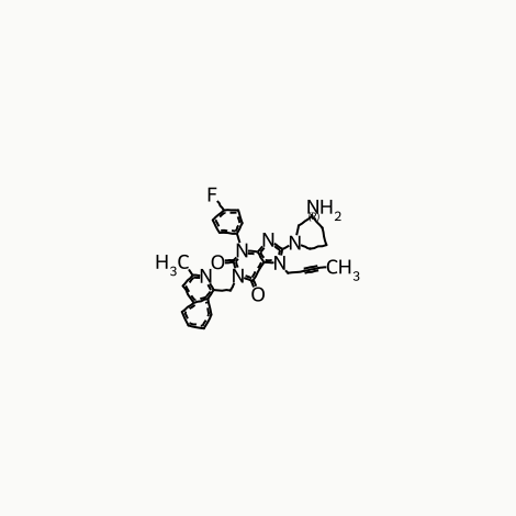 CC#CCn1c(N2CCC[C@@H](N)C2)nc2c1c(=O)n(Cc1nc(C)cc3ccccc13)c(=O)n2-c1ccc(F)cc1